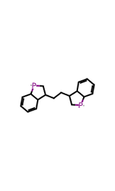 C1=CC2[P]CC(CCC3C[P]C4C=CC=CC34)C2C=C1